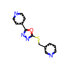 c1cncc(CSc2nnc(-c3ccncc3)o2)c1